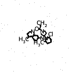 C=CC(=O)N1CC[C@@](Nc2ccc3c(C)ccnc3c2)(c2c(C)cccc2Cl)C1